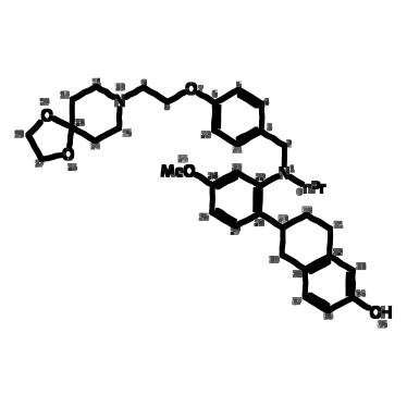 CCCN(Cc1ccc(OCCN2CCC3(CC2)OCCO3)cc1)c1cc(OC)ccc1C1CCc2cc(O)ccc2C1